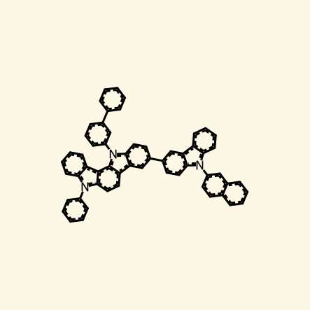 c1ccc(-c2cccc(-n3c4ccc(-c5ccc6c(c5)c5ccccc5n6-c5ccc6ccccc6c5)cc4c4ccc5c(c6ccccc6n5-c5ccccc5)c43)c2)cc1